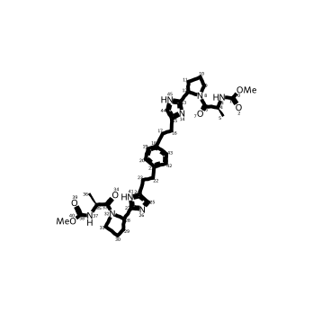 COC(=O)N[C@@H](C)C(=O)N1CCCC1c1nc(CCc2ccc(CCc3cnc(C4CCCN4C(=O)[C@H](C)NC(=O)OC)[nH]3)cc2)c[nH]1